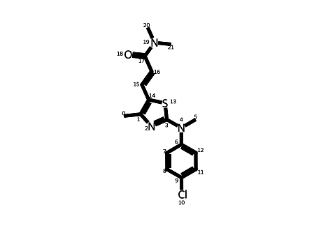 Cc1nc(N(C)c2ccc(Cl)cc2)sc1C=CC(=O)N(C)C